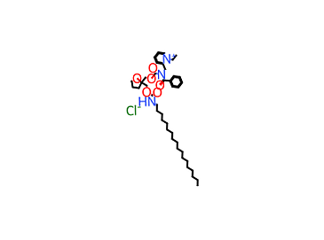 CCCCCCCCCCCCCCCCCCNC(=O)OCC1(COC(=O)N(Cc2cccc[n+]2CC)C(=O)c2ccccc2)CCCO1.[Cl-]